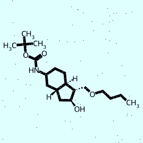 CCCCOC[C@H]1[C@@H]2CCC(NC(=O)OC(C)(C)C)C[C@H]2C[C@@H]1O